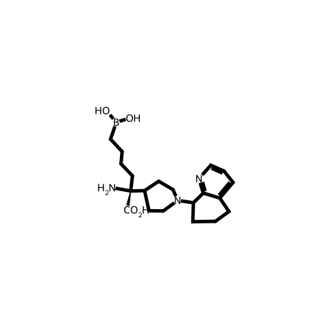 N[C@@](CCCCB(O)O)(C(=O)O)C1CCN(C2CCCc3cccnc32)CC1